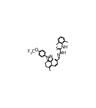 C=C(/C=C\C1=C(C)CCc2c1cnn2-c1ccc(OC(F)(F)F)cc1)/C=N/NC(=S)Nc1c(C)cccc1C